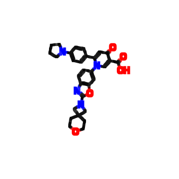 O=C(O)c1cn(-c2ccc3nc(N4CC5(CCOCC5)C4)oc3c2)c(-c2ccc(N3CCCC3)cc2)cc1=O